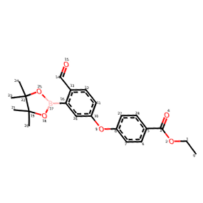 CCOC(=O)c1ccc(Oc2ccc(C=O)c(B3OC(C)(C)C(C)(C)O3)c2)cc1